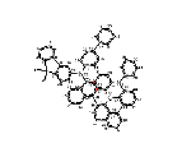 CC1(C)c2ccccc2-c2cc(N(c3ccc(-c4ccccc4)cc3)c3ccc(-c4ccc5cccc6c5c4Oc4c-6cccc4N(c4ccccc4)c4ccccc4)c4ccccc34)ccc21